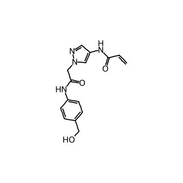 C=CC(=O)Nc1cnn(CC(=O)Nc2ccc(CO)cc2)c1